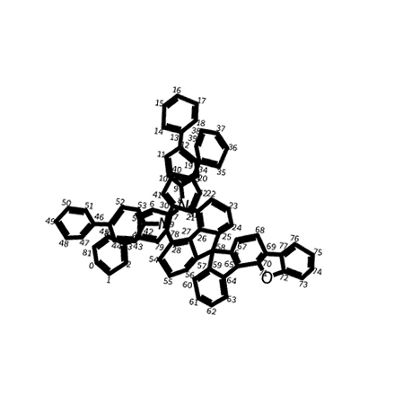 c1ccc(-c2ccc(N(c3ccc(-c4ccccc4)cc3)c3cccc4c3-c3c(N(c5ccc(-c6ccccc6)cc5)c5ccc(-c6ccccc6)cc5)cccc3C43c4ccccc4-c4c3ccc3c4oc4ccccc43)cc2)cc1